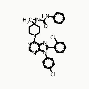 CC1(NC(=O)Nc2ccccc2)CCN(c2ncnc3c2nc(-c2ccccc2Cl)n3-c2ccc(Cl)cc2)CC1